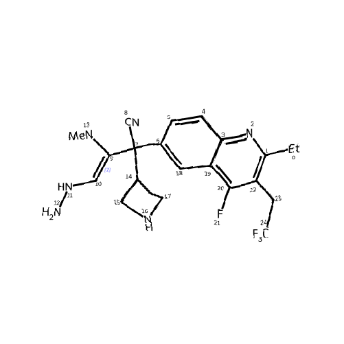 CCc1nc2ccc(C(C#N)(/C(=C/NN)NC)C3CNC3)cc2c(F)c1CC(F)(F)F